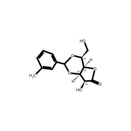 Cc1cccc(C2O[C@H]3[C@H](OC(=O)[C@H]3O)[C@H](CO)O2)c1